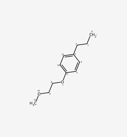 [CH2]CCc1ccc(OCCOC)cc1